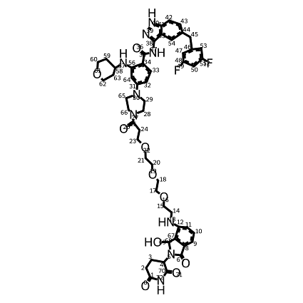 O=C1CCC(N2C(=O)c3cccc(NCCOCCOCCOCCC(=O)N4CCN(c5ccc(C(=O)Nc6n[nH]c7ccc(Cc8cc(F)cc(F)c8)cc67)c(NC6CCOCC6)c5)CC4)c3C2O)C(=O)N1